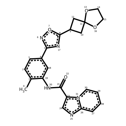 Cc1ccc(-c2noc(C3CC4(C3)OCCO4)n2)cc1NC(=O)c1cnc2ccccn12